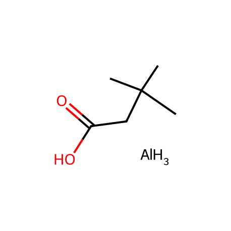 CC(C)(C)CC(=O)O.[AlH3]